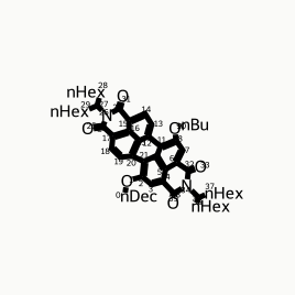 CCCCCCCCCCOc1cc2c3c(cc(OCCCC)c4c5ccc6c7c(ccc(c1c34)c75)C(=O)N(C(CCCCCC)CCCCCC)C6=O)C(=O)N(C(CCCCCC)CCCCCC)C2=O